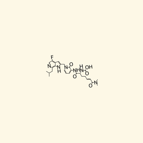 CC(C)Cc1ncc(F)c2cc(Cn3cccc(NC(=O)C(CCC=CC(=O)N(C)C)NC(=O)O)c3=O)[nH]c12